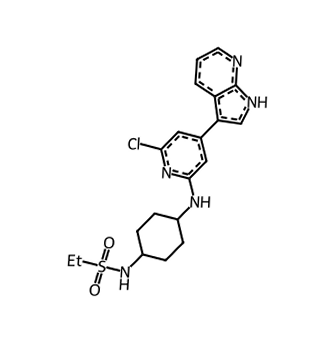 CCS(=O)(=O)NC1CCC(Nc2cc(-c3c[nH]c4ncccc34)cc(Cl)n2)CC1